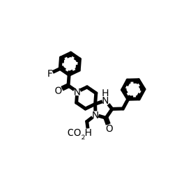 O=C(O)CN1C(=O)C(Cc2ccccc2)NC12CCN(C(=O)c1ccccc1F)CC2